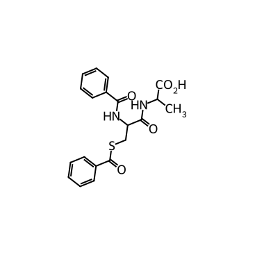 CC(NC(=O)C(CSC(=O)c1ccccc1)NC(=O)c1ccccc1)C(=O)O